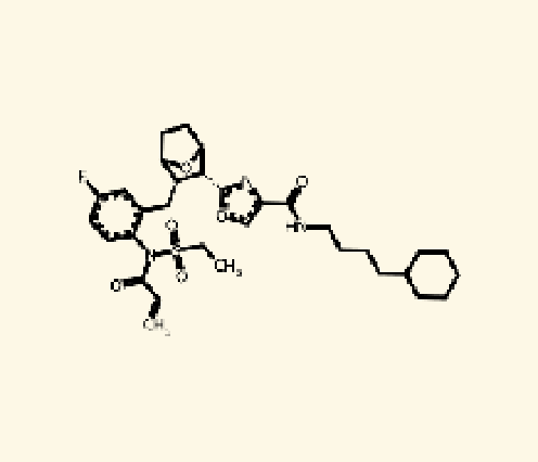 C=CC(=O)N(c1ccc(F)cc1C[C@H]1C2CCC(O2)[C@@H]1c1nc(C(=O)NCCCCC2CCCCC2)co1)S(=O)(=O)CC